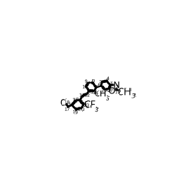 Cc1nc2ccc(-c3cccc(/C=C/c4cc(CCl)ccc4C(F)(F)F)c3C)cc2o1